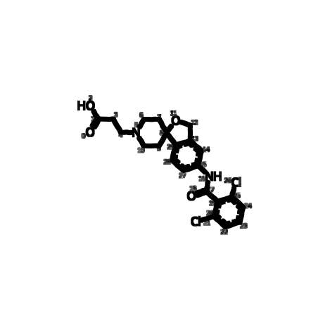 O=C(O)CCN1CCC2(CC1)OCc1cc(NC(=O)c3c(Cl)cccc3Cl)ccc12